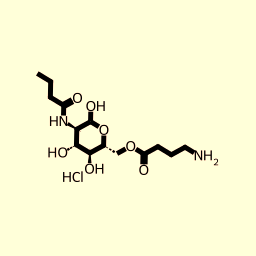 CCCC(=O)N[C@H]1C(O)O[C@H](COC(=O)CCCN)[C@@H](O)[C@@H]1O.Cl